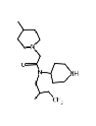 CC1CCN(CC(=O)N(CC(C)CC(F)(F)F)C2CCNCC2)CC1